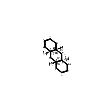 C1CC[C@@H]2C[C@@H]3CCCC[C@@H]3C[C@H]2C1